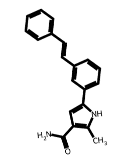 Cc1[nH]c(-c2cccc(C=Cc3ccccc3)c2)cc1C(N)=O